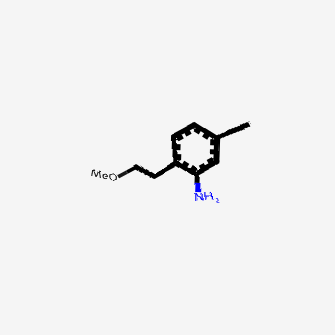 COCCc1ccc(C)cc1N